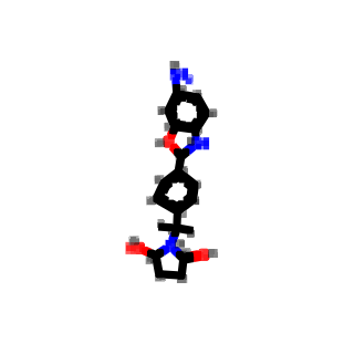 CC(C)(c1ccc(C2Nc3ccc(N)cc3O2)cc1)N1C(=O)CCC1O